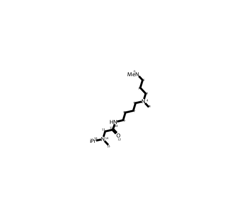 CNCCCN(C)CCCCNC(=O)CN(C)C(C)C